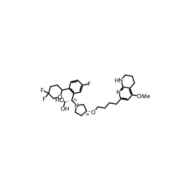 COc1cc(CCCCO[C@@H]2CCN([C@@H](c3cc(F)ccc3C3CCC(F)(F)CO3)C(O)O)C2)nc2c1CCCN2